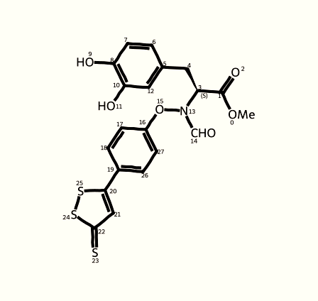 COC(=O)[C@H](Cc1ccc(O)c(O)c1)N(C=O)Oc1ccc(-c2cc(=S)ss2)cc1